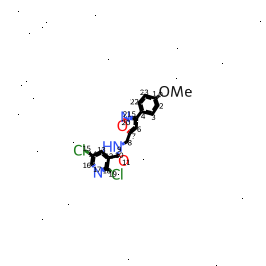 COc1ccc(-c2cc(CNC(=O)c3cc(Cl)cnc3Cl)on2)cc1